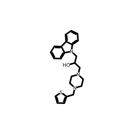 OC(CN1CCN(Cc2cccs2)CC1)Cn1c2ccccc2c2ccccc21